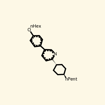 CCCCCCOc1ccc(-c2ccc([C@H]3CC[C@H](CCCCC)CC3)nc2)cc1